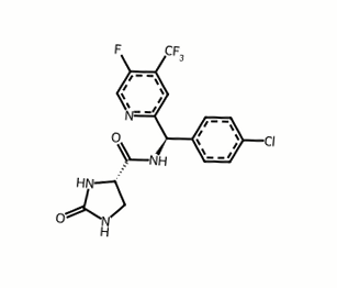 O=C1NC[C@@H](C(=O)N[C@H](c2ccc(Cl)cc2)c2cc(C(F)(F)F)c(F)cn2)N1